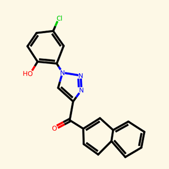 O=C(c1ccc2ccccc2c1)c1cn(-c2cc(Cl)ccc2O)nn1